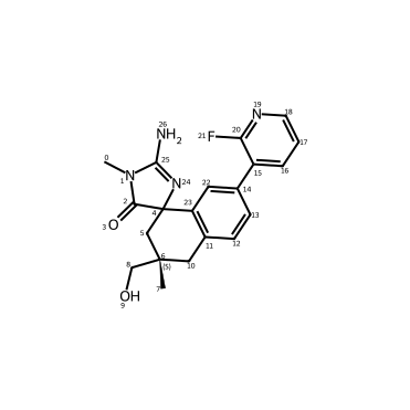 CN1C(=O)C2(C[C@@](C)(CO)Cc3ccc(-c4cccnc4F)cc32)N=C1N